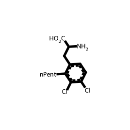 CCCCCc1c(CC(N)C(=O)O)ccc(Cl)c1Cl